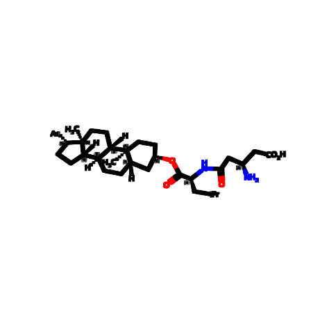 CC(=O)[C@H]1CC[C@H]2[C@@H]3CC[C@H]4C[C@H](OC(=O)[C@H](CC(C)C)NC(=O)C[C@H](N)CC(=O)O)CC[C@]4(C)[C@H]3CC[C@]12C